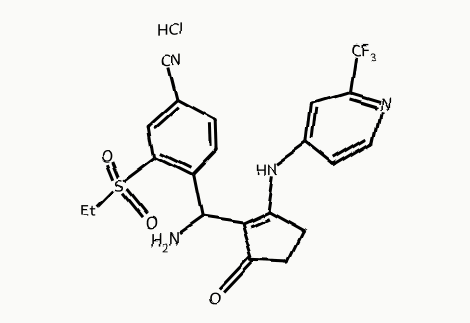 CCS(=O)(=O)c1cc(C#N)ccc1C(N)C1=C(Nc2ccnc(C(F)(F)F)c2)CCC1=O.Cl